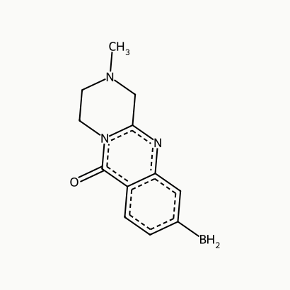 Bc1ccc2c(=O)n3c(nc2c1)CN(C)CC3